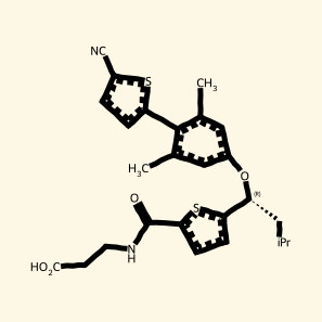 Cc1cc(O[C@H](CC(C)C)c2ccc(C(=O)NCCC(=O)O)s2)cc(C)c1-c1ccc(C#N)s1